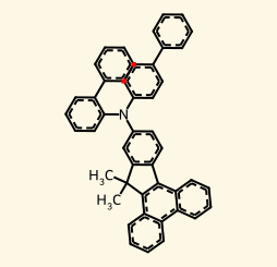 CC1(C)c2cc(N(c3ccc(-c4ccccc4)cc3)c3ccccc3-c3ccccc3)ccc2-c2c1c1ccccc1c1ccccc21